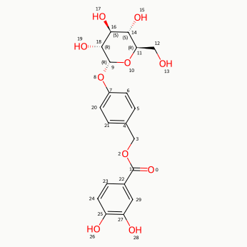 O=C(OCc1ccc(O[C@H]2O[C@H](CO)[C@@H](O)[C@H](O)[C@H]2O)cc1)c1ccc(O)c(O)c1